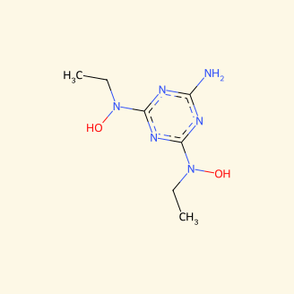 CCN(O)c1nc(N)nc(N(O)CC)n1